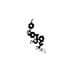 NC(=O)C1COC1[C@@H]1CC(=O)N(c2ccc3c(cnn3-c3ccc(F)cc3)c2)[C@]1(c1ccccc1)C1CC1